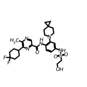 Cc1ncc(C(=O)Nc2ccc(NS(=O)(=O)CCO)cc2N2CCC3(CC2)CC3)nc1C1CCC(F)(F)CC1